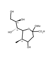 COC1(C(=O)O)CC(O)[C@@H](C)C([C@H](O)[C@H](O)CO)O1